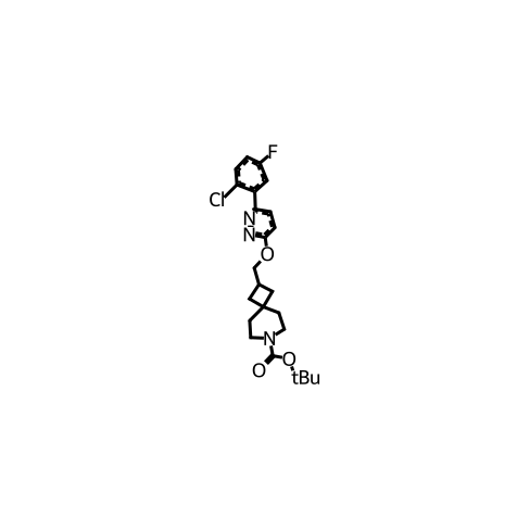 CC(C)(C)OC(=O)N1CCC2(CC1)CC(COc1ccc(-c3cc(F)ccc3Cl)nn1)C2